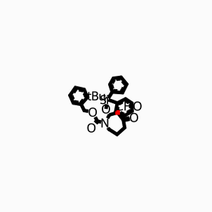 CC(C)(C)[Si](OC1C(C=O)C(=O)CCCN1C(=O)OCc1ccccc1)(c1ccccc1)c1ccccc1